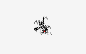 C=CCCCCC[C@H](NC(=O)OC(C)(C)C)C(=O)N1C[C@H](OC(=O)N2Cc3cccc(F)c3C2)C[C@H]1C(=O)N(C(=O)OC(C)(C)C)[C@]1(C(=O)OCC)C[C@H]1C=C